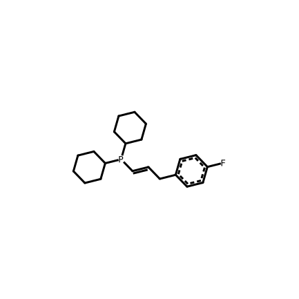 Fc1ccc(CC=CP(C2CCCCC2)C2CCCCC2)cc1